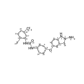 NN1Nc2ccc(Oc3ccc(NC(=O)Nc4cc(C(F)(F)F)ccc4F)cc3)cc2S1